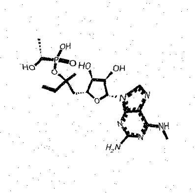 CCC(C)(C[C@H]1O[C@@H](n2cnc3c(NC)nc(N)nc32)[C@H](O)[C@@H]1O)OP(=O)(O)[C@@H](C)O